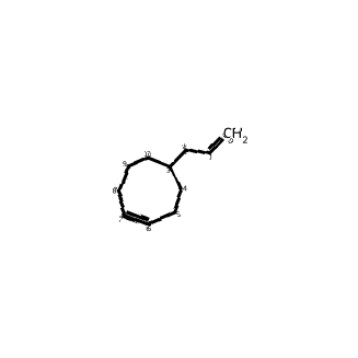 C=C[CH]C1CC/C=C\CCC1